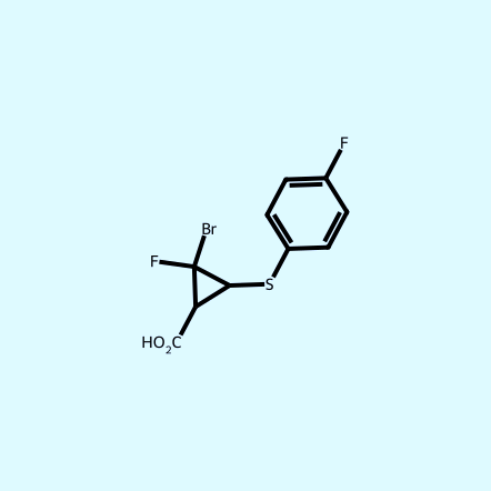 O=C(O)C1C(Sc2ccc(F)cc2)C1(F)Br